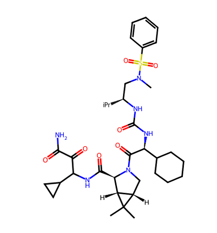 CC(C)[C@@H](CN(C)S(=O)(=O)c1ccccc1)NC(=O)N[C@H](C(=O)N1C[C@H]2[C@@H]([C@H]1C(=O)NC(C(=O)C(N)=O)C1CC1)C2(C)C)C1CCCCC1